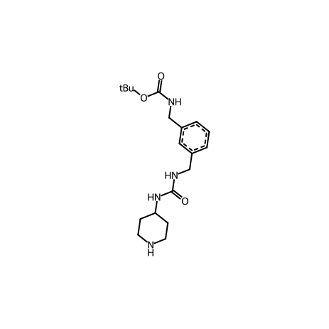 CC(C)(C)OC(=O)NCc1cccc(CNC(=O)NC2CCNCC2)c1